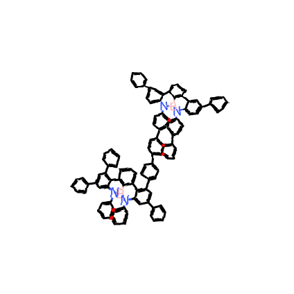 c1ccc(-c2ccc(N3B4c5c(cccc5-c5cc(-c6ccccc6)ccc5N4c4ccc(-c5ccc(-c6ccc(-c7cc(-c8ccccc8)cc8c7-c7cccc9c7B(N(c7ccccc7)c7cc(-c%10ccccc%10)cc(-c%10ccccc%10)c7-9)N8c7ccccc7)cc6)cc5)cc4)-c4cc(-c5ccccc5)ccc43)cc2)cc1